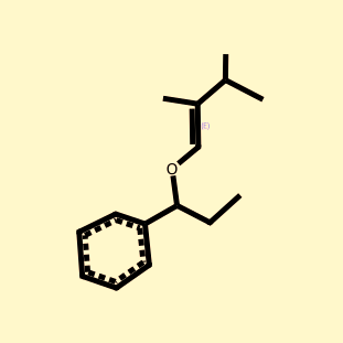 CCC(O/C=C(\C)C(C)C)c1ccccc1